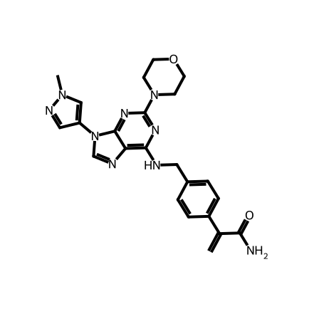 C=C(C(N)=O)c1ccc(CNc2nc(N3CCOCC3)nc3c2ncn3-c2cnn(C)c2)cc1